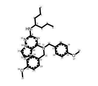 CCCC(CCC)Nc1nc(N(Cc2ccc(OC)cc2)Cc2ccc(OC)cc2)c2nccn2n1